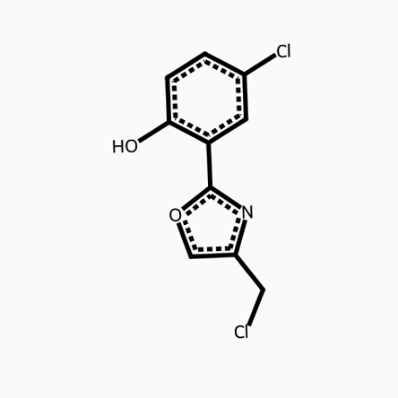 Oc1ccc(Cl)cc1-c1nc(CCl)co1